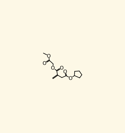 C=C(CC(=O)OC1CCCC1)C(=O)OCC(=O)OC